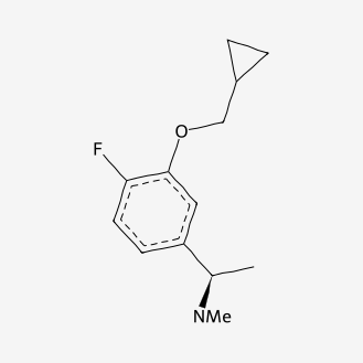 CN[C@H](C)c1ccc(F)c(OCC2CC2)c1